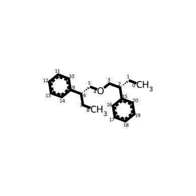 CC[C@@H](COC[C@H](CC)c1ccccc1)c1ccccc1